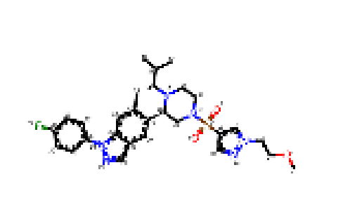 COCCn1cc(S(=O)(=O)N2CCN(CC(C)C)[C@H](c3cc4cnn(-c5ccc(F)cc5)c4cc3C)C2)cn1